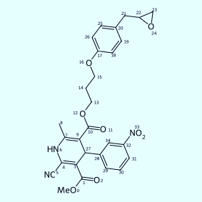 COC(=O)C1=C(C#N)NC(C)=C(C(=O)OCCCOc2ccc(CC3CO3)cc2)C1c1cccc([N+](=O)[O-])c1